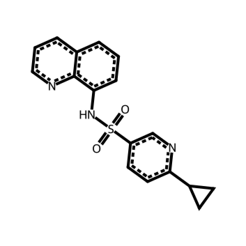 O=S(=O)(Nc1cccc2cccnc12)c1ccc(C2CC2)nc1